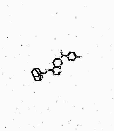 O=C(c1ccc(Cl)cc1)N1CCc2c(ncnc2NCC23CC4CC(CC(C4)C2)C3)C1